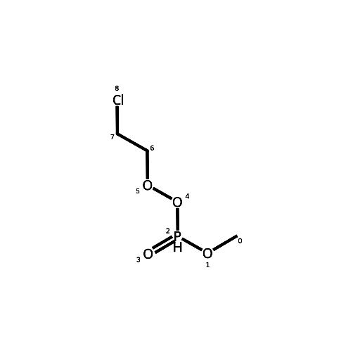 CO[PH](=O)OOCCCl